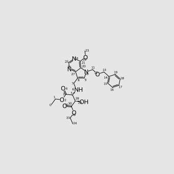 CCOC(=O)[C@@H](NCc1cn(COCc2ccccc2)c2c(OC)ncnc12)[C@@H](O)C(=O)OCC